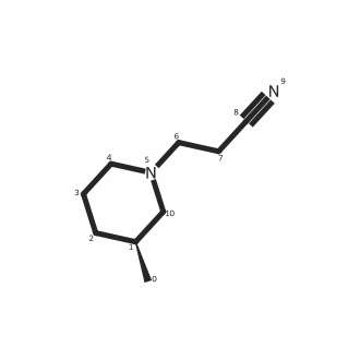 C[C@H]1CCCN(CCC#N)C1